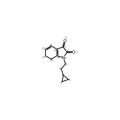 O=C1C(=O)N(CCC2CC2)C2=C1C=CCC2